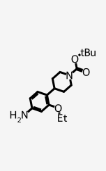 CCOc1cc(N)ccc1C1CCN(C(=O)OC(C)(C)C)CC1